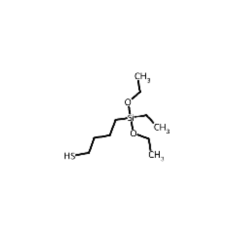 CCO[Si](CC)(CCCCS)OCC